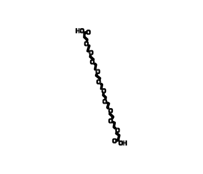 O=C(O)CCOCCOCCOCCOCCOCCOCCOCCOCCOCCOCCC(=O)O